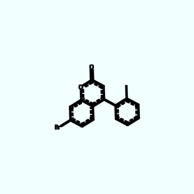 Cc1ccccc1-c1cc(=O)oc2cc(Br)ccc12